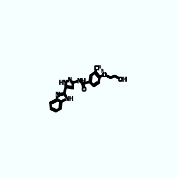 O=C(Nc1cc(-c2nc3ccccc3[nH]2)[nH]n1)c1ccc(OCCO)c(C(F)(F)F)c1